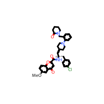 COc1ccc2oc(C(=O)N[C@H](C=C3CCN(c4ccccc4CN4CCCCC4=O)CC3)Cc3ccc(Cl)cc3)cc(=O)c2c1